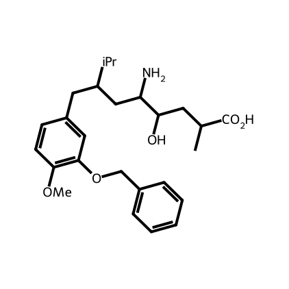 COc1ccc(CC(CC(N)C(O)CC(C)C(=O)O)C(C)C)cc1OCc1ccccc1